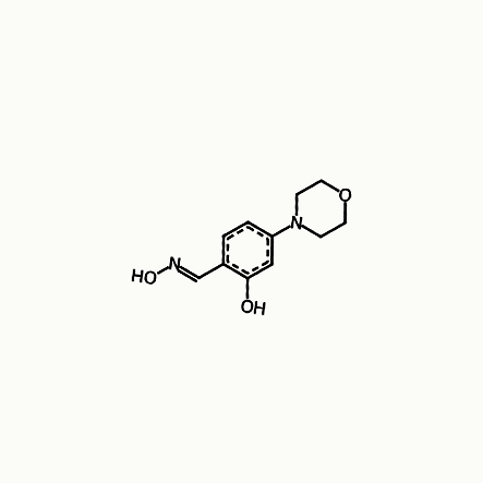 O/N=C/c1ccc(N2CCOCC2)cc1O